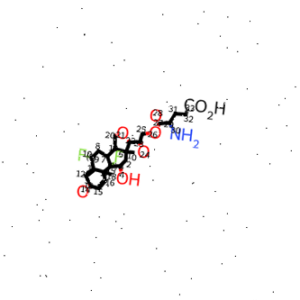 CC12CC(O)[C@@]3(F)C(C[C@H](F)C4=CC(=O)C=CC43C)C1COC2C(=O)COC(=O)C(N)CCC(=O)O